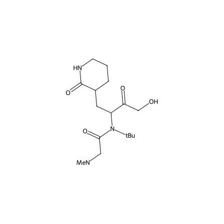 CNCC(=O)N(C(CC1CCCNC1=O)C(=O)CO)C(C)(C)C